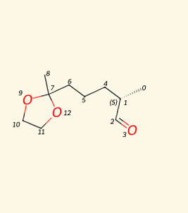 C[C@H](C=O)CCCC1(C)OCCO1